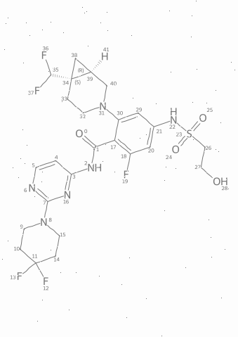 O=C(Nc1ccnc(N2CCC(F)(F)CC2)n1)c1c(F)cc(NS(=O)(=O)CCO)cc1N1CC[C@@]2(C(F)F)C[C@H]2C1